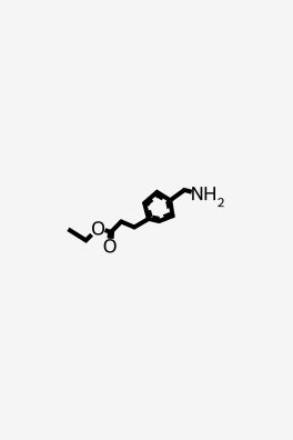 CCOC(=O)CCc1ccc(CN)cc1